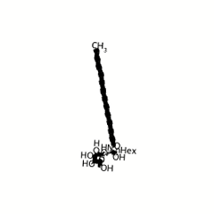 CC#CC#CC#CC#CC#CC#CC#CC#CC#CC#CC#CC#CC(=O)N[C@@H](CO[C@H]1OC(CO)[C@H](O)[C@H](O)C1O)[C@H](O)CCCCCC